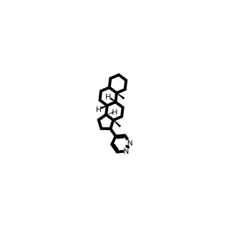 C[C@]12CCCCC1CC[C@@H]1[C@H]2CC[C@]2(C)C(c3ccnnc3)CC[C@@H]12